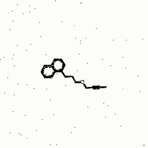 CC#CCOCCCc1cccc2ccccc12